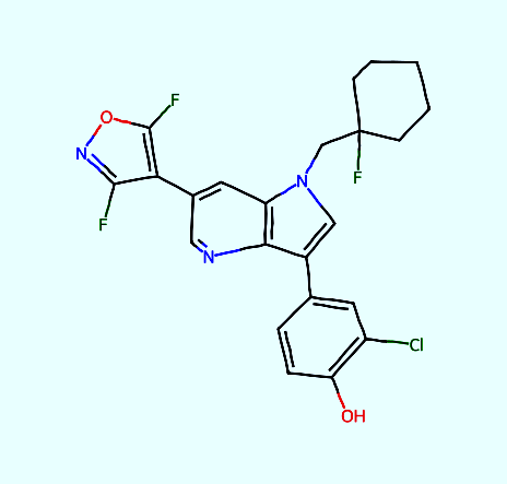 Oc1ccc(-c2cn(CC3(F)CCCCC3)c3cc(-c4c(F)noc4F)cnc23)cc1Cl